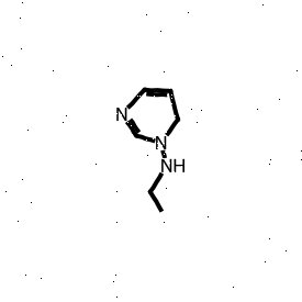 CCNN1C=NC=CC1